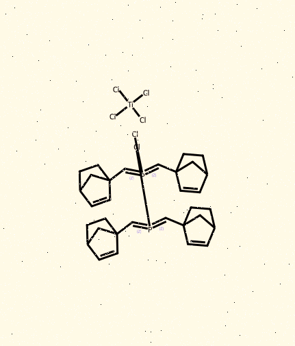 Cl/P(=C\C12C=CC(CC1)C2)=C\C12C=CC(CC1)C2.Cl/P(=C\C12C=CC(CC1)C2)=C\C12C=CC(CC1)C2.[Cl][Ti]([Cl])([Cl])[Cl]